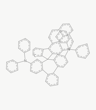 c1ccc(N(c2ccccc2)c2ccc3c(c2)C2(c4cc(N(c5ccccc5)c5ccccc5)ccc4-c4ccccc4-3)c3ccccc3-c3c2cc2ccc4cccc5ccc3c2c45)cc1